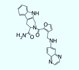 NC(=O)C1Cc2c([nH]c3ccccc23)CN1C(=O)c1occc1CNc1ccc2nccnc2c1